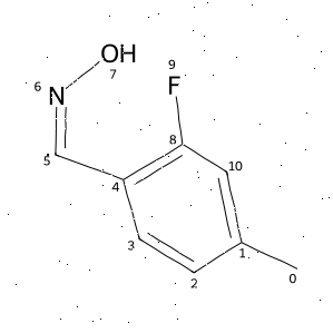 Cc1ccc(/[C]=N\O)c(F)c1